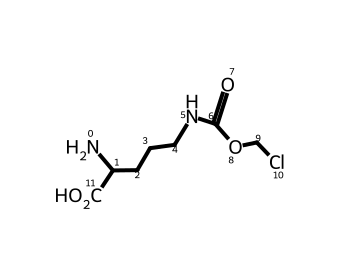 NC(CCCNC(=O)OCCl)C(=O)O